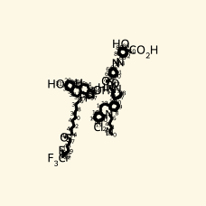 CN(C)CCCN1c2ccccc2CCc2ccc(Cl)cc21.C[C@]12CC[C@@H]3c4ccc(O)cc4C[C@@H](CCCCCCCCC[S+]([O-])CCCC(F)(F)C(F)(F)F)[C@H]3[C@@H]1CC[C@@H]2O.O=C(O)c1cc(N=Nc2ccc(S(=O)(=O)Nc3ccccn3)cc2)ccc1O